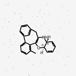 Cc1cccc2c1C1=C(Cc3cccc-2c3)N[C@@H]2C=CC=C[C@H]2O1